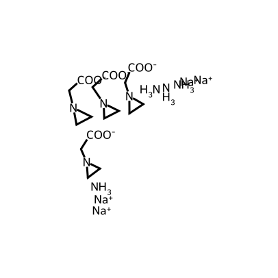 N.N.N.N.O=C([O-])CN1CC1.O=C([O-])CN1CC1.O=C([O-])CN1CC1.O=C([O-])CN1CC1.[Na+].[Na+].[Na+].[Na+]